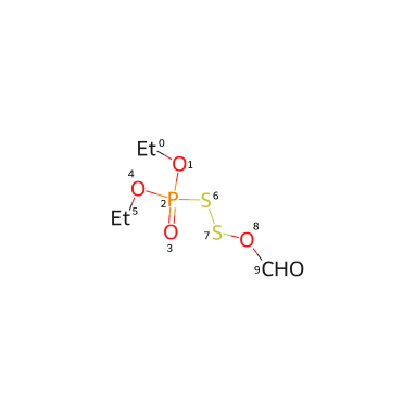 CCOP(=O)(OCC)SSOC=O